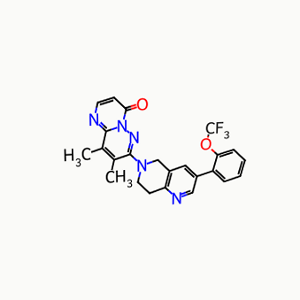 Cc1c(N2CCc3ncc(-c4ccccc4OC(F)(F)F)cc3C2)nn2c(=O)ccnc2c1C